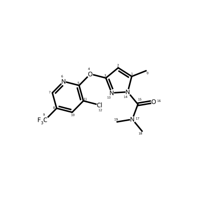 Cc1cc(Oc2ncc(C(F)(F)F)cc2Cl)nn1C(=O)N(C)C